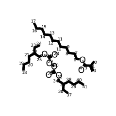 C=C(C)C(=O)OCCCCCCCCCCCC.CCCCC(CC)COC(=O)OOC(=O)OCC(CC)CCCC